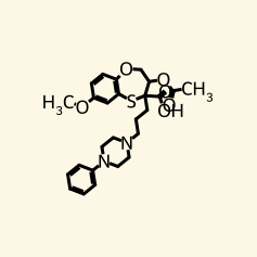 COc1ccc2c(c1)SC(CCCN1CCN(c3ccccc3)CC1)(C(=O)O)C(OC(C)=O)CO2